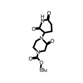 CC(C)(C)OC(=O)N1CCN(C2CCC(=O)NC2=O)C(=O)C1